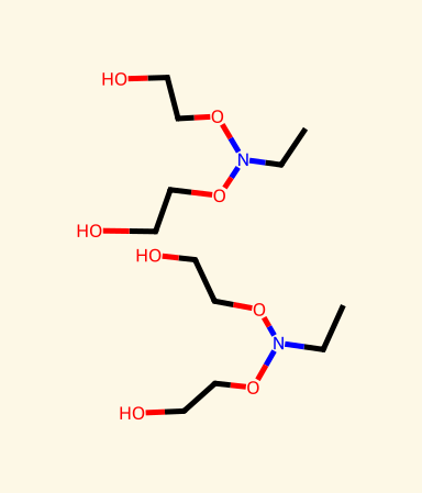 CCN(OCCO)OCCO.CCN(OCCO)OCCO